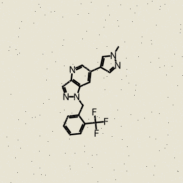 Cn1cc(-c2cnc3cnn(Cc4ccccc4C(F)(F)F)c3c2)cn1